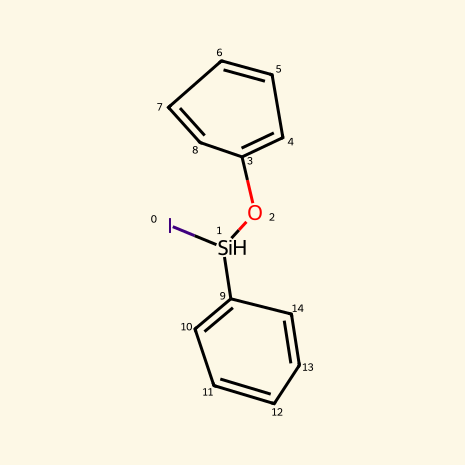 I[SiH](Oc1ccccc1)c1ccccc1